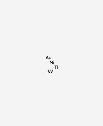 [Au].[Ni].[Ti].[W]